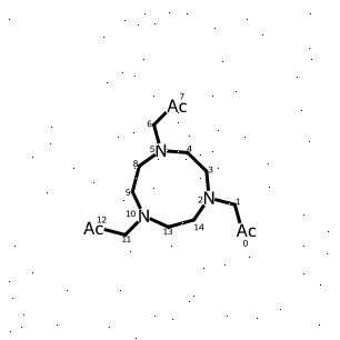 CC(=O)CN1CCN(CC(C)=O)CCN(CC(C)=O)CC1